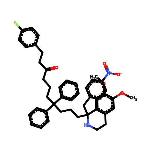 COc1cc2c(cc1OC)C(CCCC(CCCC(=O)CCc1ccc(F)cc1)(c1ccccc1)c1ccccc1)(Cc1ccc([N+](=O)[O-])cc1)NCC2